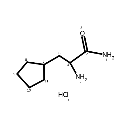 Cl.NC(=O)C(N)CC1CCCC1